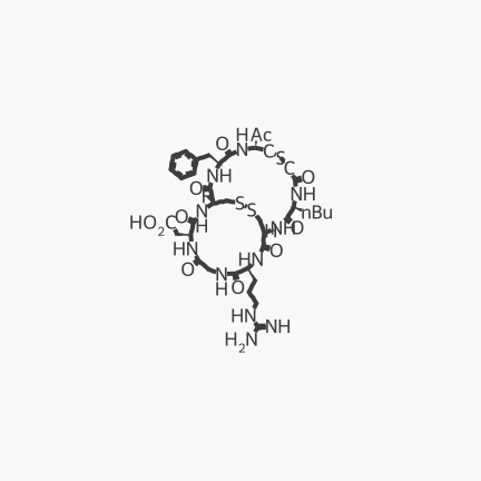 CCCC[C@@H]1NC(=O)CSC[C@@H](C(C)=O)NC(=O)[C@H](Cc2ccccc2)NC(=O)[C@@H]2CSSC[C@H](NC1=O)C(=O)N[C@@H](CCCNC(=N)N)C(=O)NCC(=O)N[C@@H](CC(=O)O)C(=O)N2